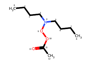 CCCCN(CCCC)OOC(C)=O